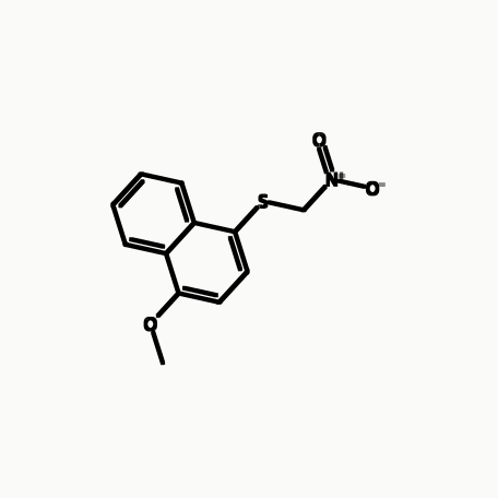 COc1ccc(SC[N+](=O)[O-])c2ccccc12